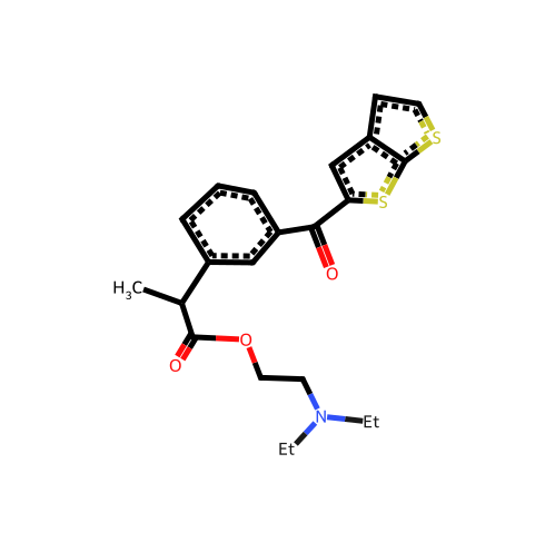 CCN(CC)CCOC(=O)C(C)c1cccc(C(=O)c2cc3ccsc3s2)c1